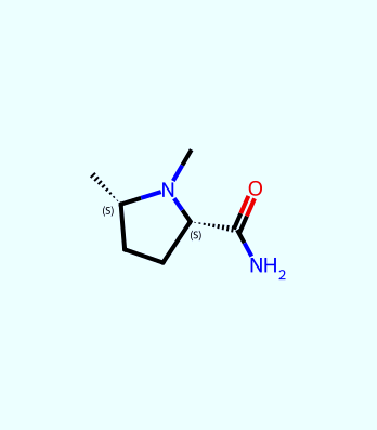 C[C@H]1CC[C@@H](C(N)=O)N1C